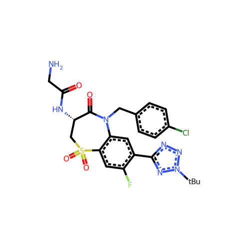 CC(C)(C)n1nnc(-c2cc3c(cc2F)S(=O)(=O)C[C@H](NC(=O)CN)C(=O)N3Cc2ccc(Cl)cc2)n1